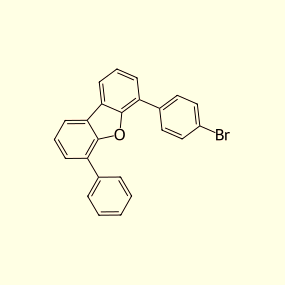 Brc1ccc(-c2cccc3c2oc2c(-c4ccccc4)cccc23)cc1